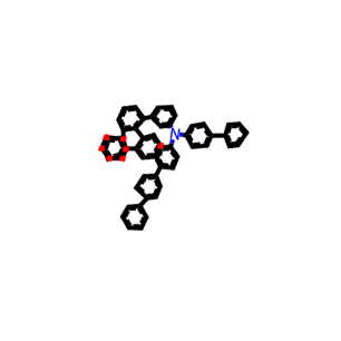 c1ccc(-c2ccc(-c3ccc(N(c4ccc(-c5ccccc5)cc4)c4cccc(-c5cccc(-c6ccccc6)c5-c5ccccc5-c5ccccc5)c4)cc3)cc2)cc1